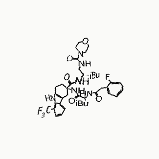 CCC(C)[C@H](NC(=O)Cc1ccccc1F)C(=O)N[C@]1(C(=O)N[C@H](CNC(=O)N2CCOCC2)C(C)CC)CCc2[nH]c3c(C(F)(F)F)cccc3c2C1